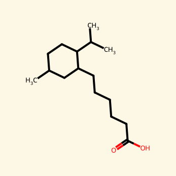 CC1CCC(C(C)C)C(CCCCCC(=O)O)C1